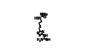 CNC(=O)N(S)CCSCc1nsc(NC(=N)N)n1